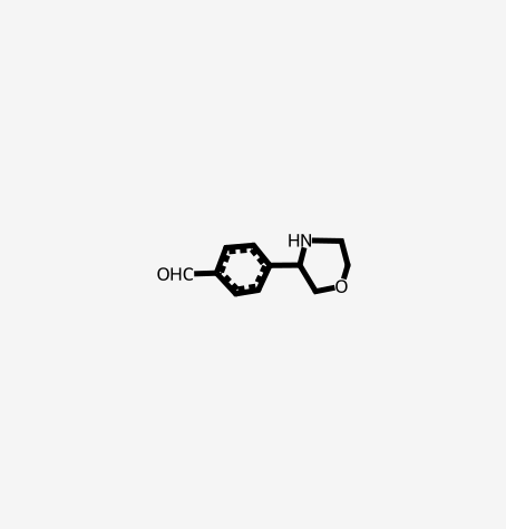 O=Cc1ccc(C2COCCN2)cc1